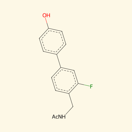 CC(=O)NCc1ccc(-c2ccc(O)cc2)cc1F